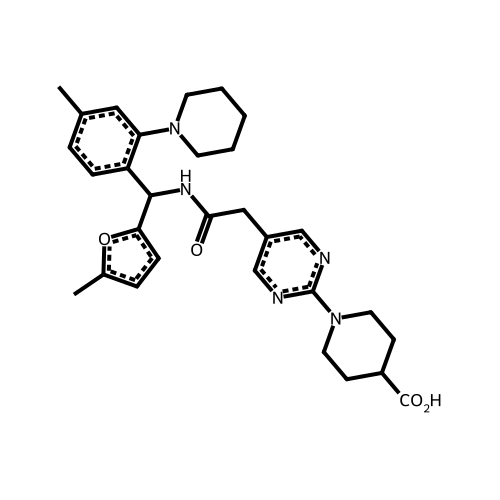 Cc1ccc(C(NC(=O)Cc2cnc(N3CCC(C(=O)O)CC3)nc2)c2ccc(C)o2)c(N2CCCCC2)c1